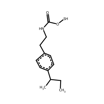 CCC(C)c1ccc(CCNC(=O)OS)cc1